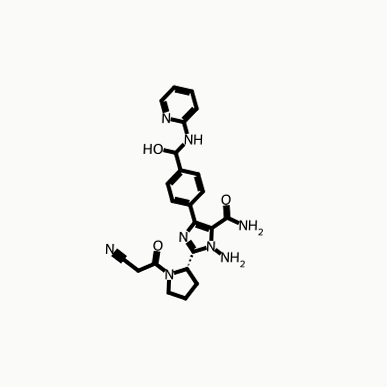 N#CCC(=O)N1CCC[C@H]1c1nc(-c2ccc(C(O)Nc3ccccn3)cc2)c(C(N)=O)n1N